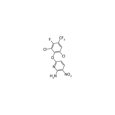 Nc1nc(Oc2c(Cl)cc(C(F)(F)F)c(F)c2Cl)ccc1[N+](=O)[O-]